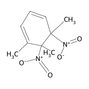 CC1=CC=CC(C)([N+](=O)[O-])C1(C)[N+](=O)[O-]